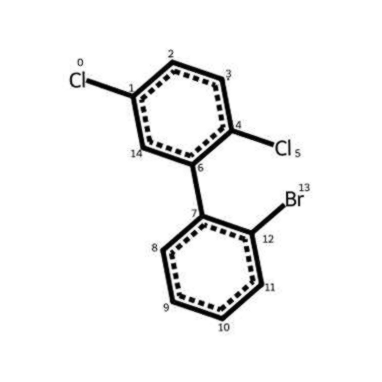 Clc1c[c]c(Cl)c(-c2ccccc2Br)c1